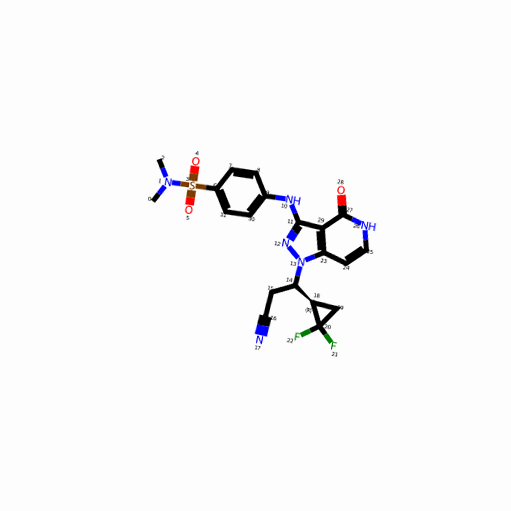 CN(C)S(=O)(=O)c1ccc(Nc2nn(C(CC#N)[C@H]3CC3(F)F)c3cc[nH]c(=O)c23)cc1